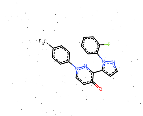 O=c1ccn(-c2ccc(C(F)(F)F)cc2)nc1-c1ccnn1-c1ccccc1F